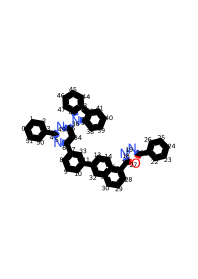 c1ccc(-c2nc(-c3cccc(-c4ccc5c(-c6nnc(-c7ccccc7)o6)cccc5c4)c3)cc(-n3c4ccccc4c4ccccc43)n2)cc1